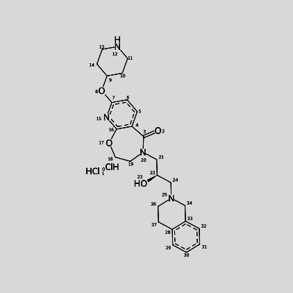 Cl.Cl.O=C1c2ccc(OC3CCNCC3)nc2OCCN1C[C@H](O)CN1CCc2ccccc2C1